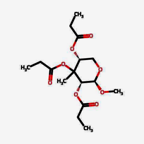 CCC(=O)O[C@@H]1CO[C@@H](OC)[C@H](OC(=O)CC)C1(C)OC(=O)CC